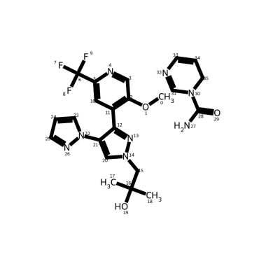 COc1cnc(C(F)(F)F)cc1-c1nn(CC(C)(C)O)cc1-n1cccn1.NC(=O)N1C=NC=CC1